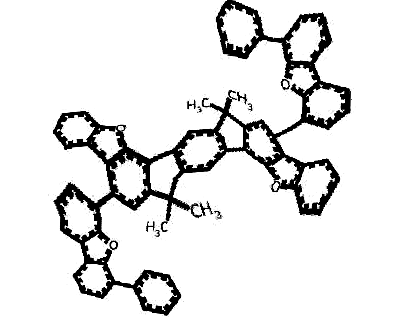 CC1(C)c2cc3c(cc2-c2c1cc(-c1cccc4c1oc1c(-c5ccccc5)cccc14)c1c2oc2ccccc21)C(C)(C)c1cc(-c2cccc4c2oc2c(-c5ccccc5)cccc24)c2c(oc4ccccc42)c1-3